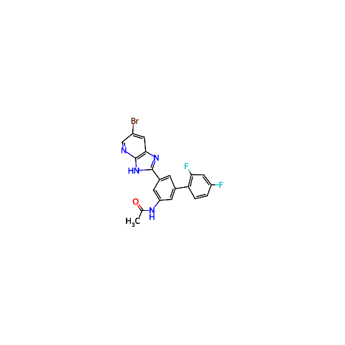 CC(=O)Nc1cc(-c2nc3cc(Br)cnc3[nH]2)cc(-c2ccc(F)cc2F)c1